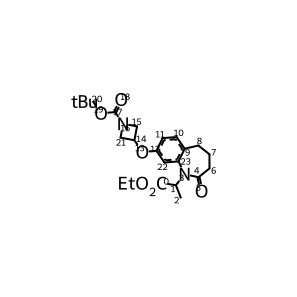 CCOC(=O)C(C)N1C(=O)CCCc2ccc(OC3CN(C(=O)OC(C)(C)C)C3)cc21